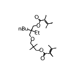 CCCCC(CC)(COCC(C)(C)COC(=O)C(C)=C(C)C)COC(=O)C(C)=C(C)C